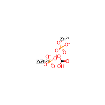 O=C(O)O.O=P([O-])([O-])[O-].O=P([O-])([O-])[O-].[Zn+2].[Zn+2].[Zn+2]